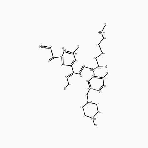 C=C(C=N)c1cc(C(=C/CC)/N=C/N(c2cc(CN3CCN(C)CC3)ccc2C)C(C)CCCCNC)cc(C)n1